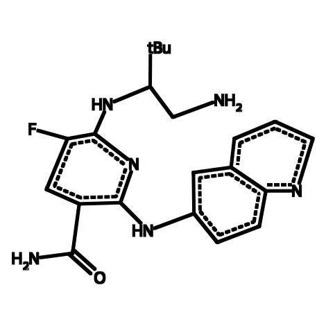 CC(C)(C)C(CN)Nc1nc(Nc2ccc3ncccc3c2)c(C(N)=O)cc1F